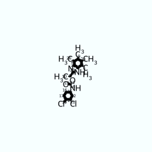 Cc1c(C)c(C)c2[nH]c([C@H](C)OC(=O)Nc3ccc(Cl)c(Cl)c3)nc2c1C